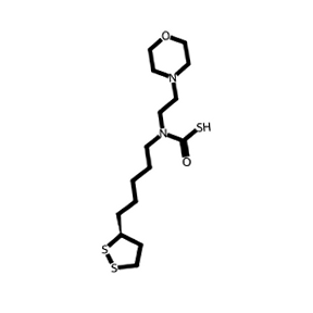 O=C(S)N(CCCCC[C@H]1CCSS1)CCN1CCOCC1